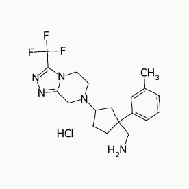 Cc1cccc(C2(CN)CCC(N3CCn4c(nnc4C(F)(F)F)C3)C2)c1.Cl